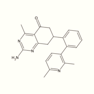 Cc1ccc(-c2ccccc2C2CC(=O)c3c(C)nc(N)nc3C2)c(C)n1